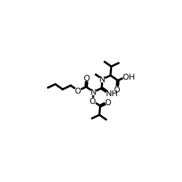 CCCCOC(=O)N(OC(=O)C(C)C)C(=N)N(C)C(C(=O)O)C(C)C